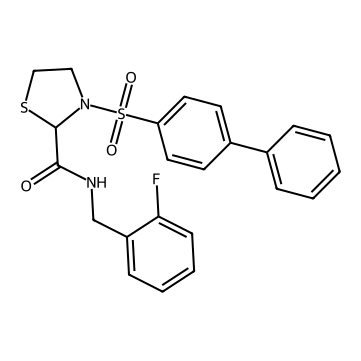 O=C(NCc1ccccc1F)C1SCCN1S(=O)(=O)c1ccc(-c2ccccc2)cc1